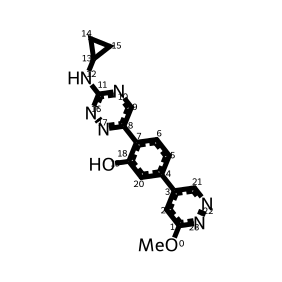 COc1cc(-c2ccc(-c3cnc(NC4CC4)nn3)c(O)c2)cnn1